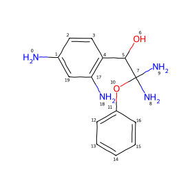 Nc1ccc(C(O)C(N)(N)Oc2ccccc2)c(N)c1